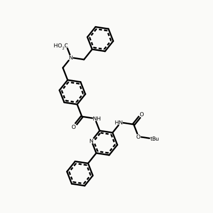 CC(C)(C)OC(=O)Nc1ccc(-c2ccccc2)nc1NC(=O)c1ccc(CN(Cc2ccccc2)C(=O)O)cc1